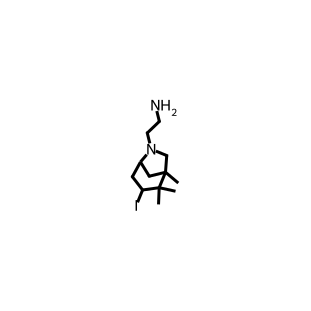 CC12CC(CC(I)C1(C)C)N(CCN)C2